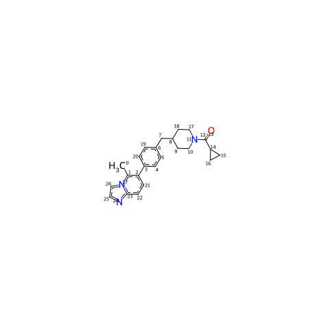 Cc1c(-c2ccc(CC3CCN(C(=O)C4CC4)CC3)cc2)ccc2nccn12